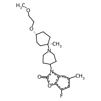 COCCO[C@H]1CC[C@](C)(N2CCC(n3c(=O)oc4c(F)cc(C)cc43)CC2)CC1